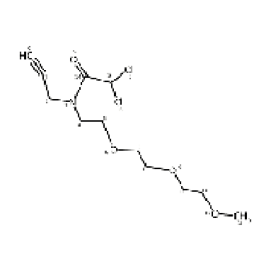 C#CCN(CCOCCOCCOC)C(=O)C(Cl)Cl